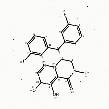 CC(C)N1C[C@@H](C(c2cccc(F)c2)c2cccc(F)c2)N2N=CC(O)C(O)=C2C1=O